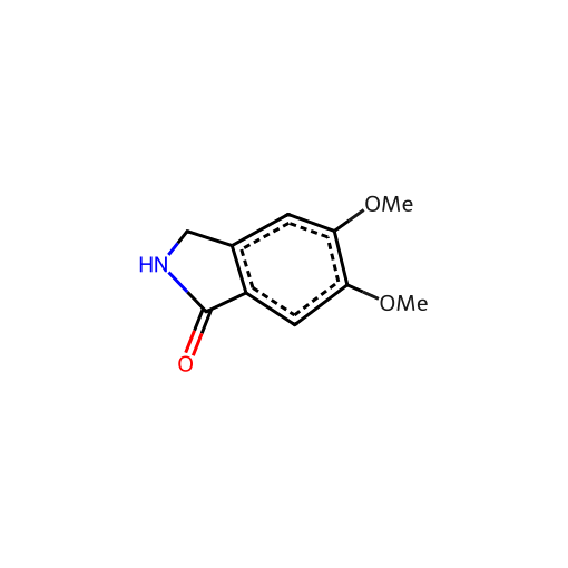 COc1cc2c(cc1OC)C(=O)NC2